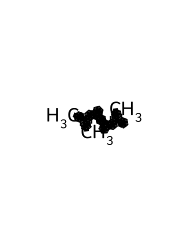 Cc1ccc(N(C2=CCC(C)C=C2)C2=Cc3c(c4cccc5c6cc7c(cc6n3c45)c3cccc4c5ccc(N(c6ccccc6)c6ccc(C)cc6)cc5n7c43)CC2)cc1